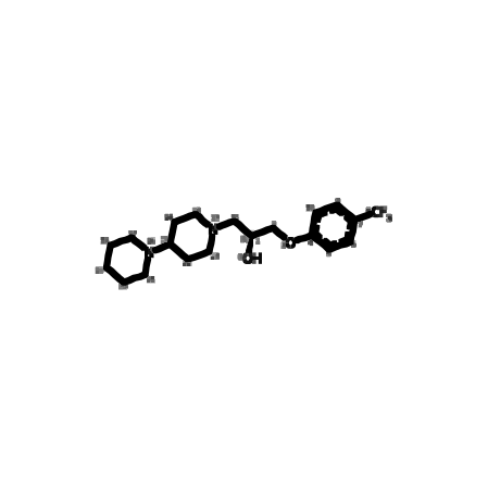 O[C@H](COc1ccc(C(F)(F)F)cc1)CN1CCC(N2CCCCC2)CC1